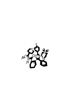 N#C[C@H](NC(=O)[C@@H]1CCCC[C@H]1c1oc(-c2ccc(F)cc2)nc1-c1ccccc1N1CCS(=O)(=O)CC1)C1CCOCC1